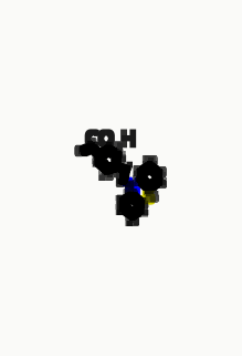 C=C(C(=O)O)c1ccc(CCN2c3ccccc3Sc3ccccc32)cc1